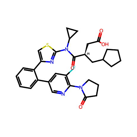 O=C(O)C[C@@H](CC1CCCC1)C(=O)N(c1nc(-c2ccccc2-c2cnc(N3CCCC3=O)c(F)c2)cs1)C1CC1